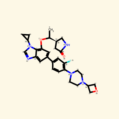 CC(Oc1cc(-c2ccc(N3CCN(C4COC4)CC3)c(F)c2)cc2ncn(C3CC3)c12)[C@H]1CNC(=O)C1